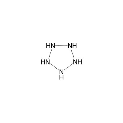 [nH]1[nH][nH][nH][nH]1